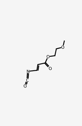 COCCOC(=O)C=CN=C=O